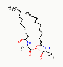 CCCCCCCCCCCCCCCCCC(=O)N[C@@H](C)C(=O)OC(=O)[C@H](C)NC(=O)CCCCCCCCCCCCCCCCC